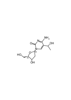 CC(O)c1cn([C@H]2CC(O)[C@@H](CO)O2)c(=O)nc1N